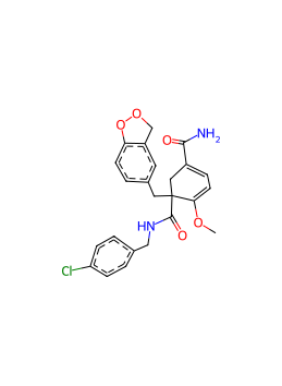 COC1=CC=C(C(N)=O)CC1(Cc1ccc2c(c1)COO2)C(=O)NCc1ccc(Cl)cc1